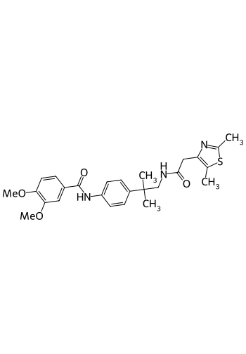 COc1ccc(C(=O)Nc2ccc(C(C)(C)CNC(=O)Cc3nc(C)sc3C)cc2)cc1OC